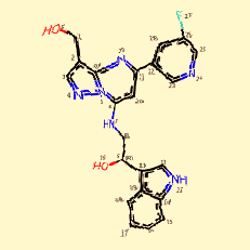 OCc1cnn2c(NC[C@H](O)c3c[nH]c4ccccc34)cc(-c3cncc(F)c3)nc12